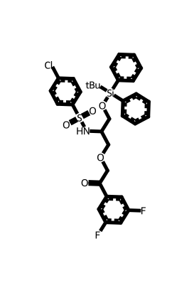 CC(C)(C)[Si](OCC(COCC(=O)c1cc(F)cc(F)c1)NS(=O)(=O)c1ccc(Cl)cc1)(c1ccccc1)c1ccccc1